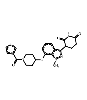 Cn1nc(C2CCC(=O)NC2=O)c2cccc(OC3CCN(C(=O)c4ccsc4)CC3)c21